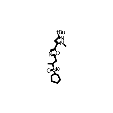 CC(Cc1ncc(-c2cc(C(C)(C)C)nn2C)o1)S(=O)(=O)C1CCCCC1